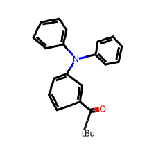 CC(C)(C)C(=O)c1cccc(N(c2ccccc2)c2ccccc2)c1